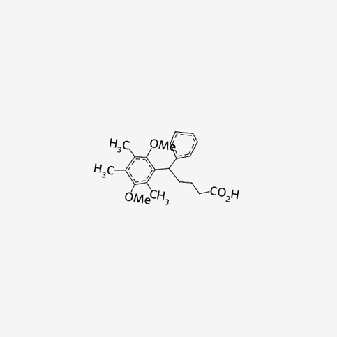 COc1c(C)c(C)c(OC)c(C(CCCC(=O)O)c2ccccc2)c1C